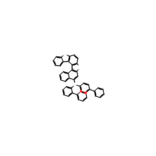 c1ccc(-c2ccc(N(c3ccccc3-c3ccccc3)c3cc4oc5ccc6oc7ccccc7c6c5c4c4ccccc34)cc2)cc1